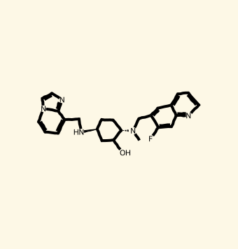 CN(Cc1cc2cccnc2cc1F)[C@H]1CC[C@H](NCc2cccn3ccnc23)CC1O